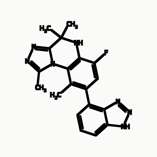 Cc1c(-c2cccc3[nH]nnc23)cc(F)c2c1-n1c(C)nnc1C(C)(C)N2